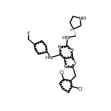 FCc1ccc(Nc2nc(NC[C@@H]3CCNC3)nc3sc(Cc4c(Cl)cccc4Cl)nc23)cc1